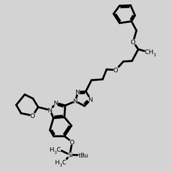 CC(CCOCCCc1ncn(-c2nn(C3CCCCO3)c3ccc(O[Si](C)(C)C(C)(C)C)cc23)n1)OCc1ccccc1